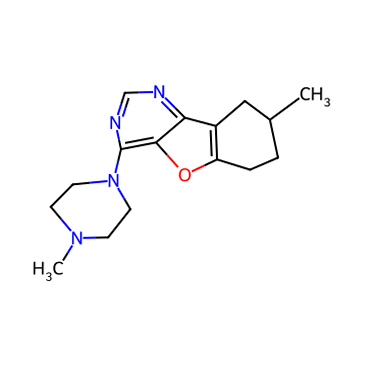 CC1CCc2oc3c(N4CCN(C)CC4)ncnc3c2C1